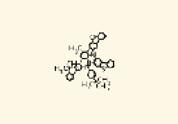 Cc1cc2c3c4c1c1cc5oc6ccccc6c5cc1n4-c1cc4c(cc1B3N(c1ccc(C(C)(C)C)cc1)c1cc3c(cc1-2)C(C)(C)c1ccccc1-3)sc1ccccc14